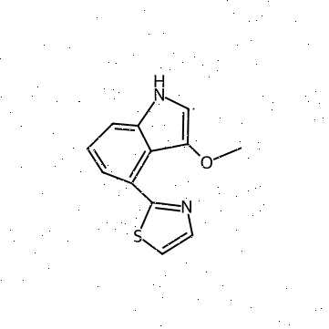 COc1[c][nH]c2cccc(-c3nccs3)c12